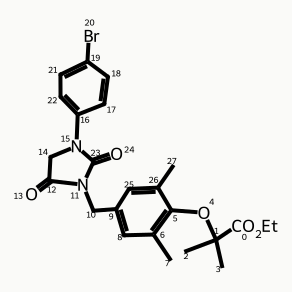 CCOC(=O)C(C)(C)Oc1c(C)cc(CN2C(=O)CN(c3ccc(Br)cc3)C2=O)cc1C